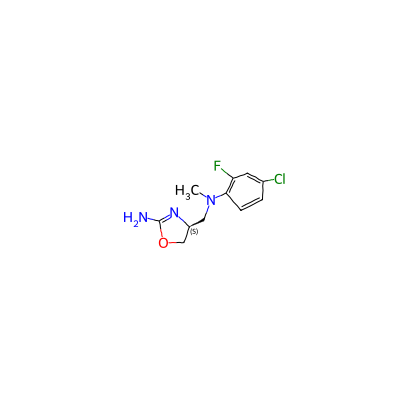 CN(C[C@H]1COC(N)=N1)c1ccc(Cl)cc1F